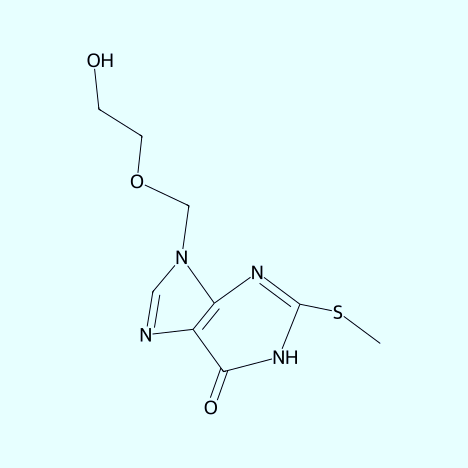 CSc1nc2c(ncn2COCCO)c(=O)[nH]1